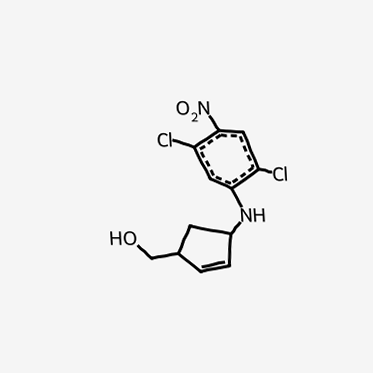 O=[N+]([O-])c1cc(Cl)c(NC2C=CC(CO)C2)cc1Cl